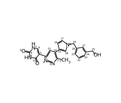 Cc1nnc(-c2c[nH]c(=O)[nH]c2=O)cc1-c1ccn(Cc2cccc(CO)c2)c1